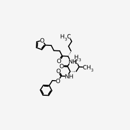 CCCC[C@H](NC(=O)[C@H](CC(C)C)NC(=O)OCc1ccccc1)C(=O)CCCc1ccco1